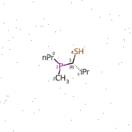 CCCP(C)[C@H](S)C(C)C